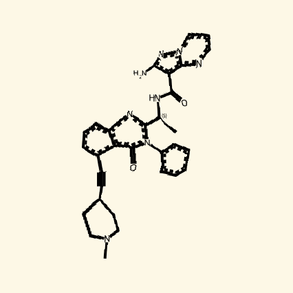 C[C@H](NC(=O)c1c(N)nn2cccnc12)c1nc2cccc(C#CC3CCN(C)CC3)c2c(=O)n1-c1ccccc1